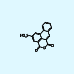 O=C1OC(=O)c2cc3ccccc3c3cc(S(=O)(=O)O)cc1c23